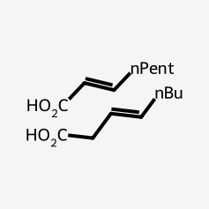 CCCCC=CCC(=O)O.CCCCCC=CC(=O)O